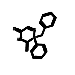 O=C1C=N[N+](Cc2ccccc2)(c2ccccc2)C(=O)N1